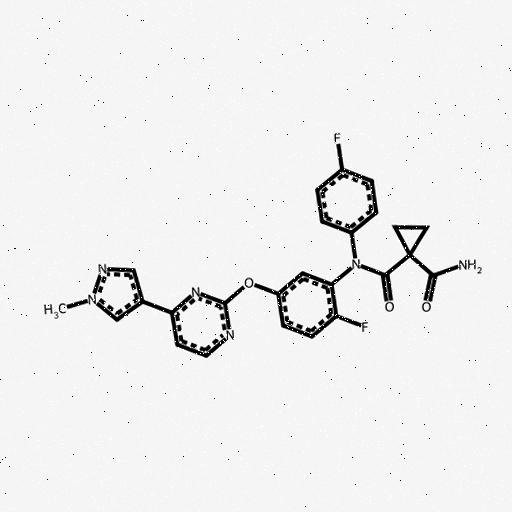 Cn1cc(-c2ccnc(Oc3ccc(F)c(N(C(=O)C4(C(N)=O)CC4)c4ccc(F)cc4)c3)n2)cn1